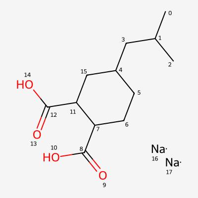 CC(C)CC1CCC(C(=O)O)C(C(=O)O)C1.[Na].[Na]